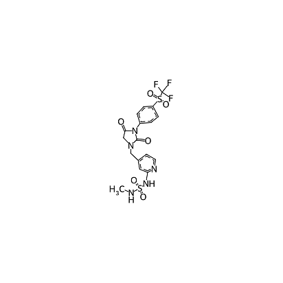 CNS(=O)(=O)Nc1cc(CN2CC(=O)N(c3ccc(S(=O)(=O)C(F)(F)F)cc3)C2=O)ccn1